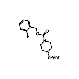 [CH2]CCCCN1CCN(C(=O)OCc2ccccc2F)CC1